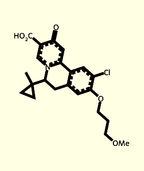 COCCCOc1cc2c(cc1Cl)-c1cc(=O)c(C(=O)O)cn1C(C1(C)CC1)C2